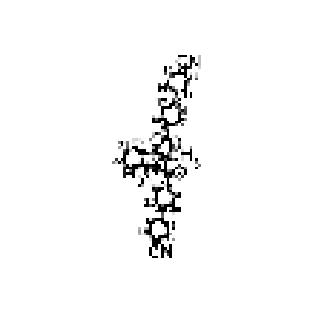 C[C@H]([C@@H](OC(=O)c1ccc(-c2ccc(C#N)cc2)cc1)c1ccccc1)N(C)C(=O)c1ccc(-c2ccc(C#N)cc2)cc1